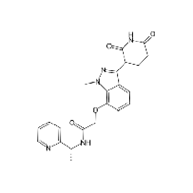 C[C@@H](NC(=O)COc1cccc2c(C3CCC(=O)NC3=O)nn(C)c12)c1ccccn1